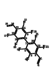 C=Cc1c(F)c(F)c(-c2c(F)c(F)c(C=C)c(F)c2F)c(F)c1F